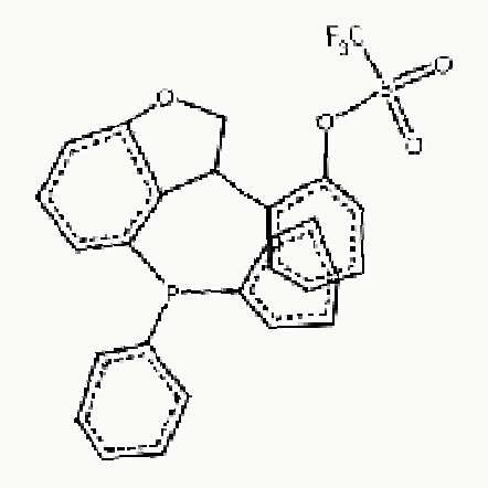 O=S(=O)(Oc1ccccc1C1COc2cccc(P(c3ccccc3)c3ccccc3)c21)C(F)(F)F